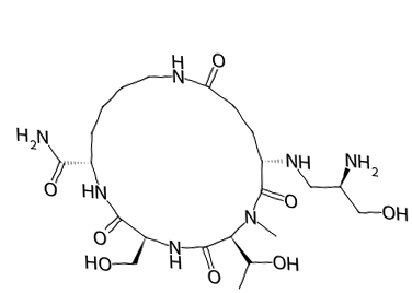 CC(O)[C@H]1C(=O)N[C@@H](CO)C(=O)N[C@H](C(N)=O)CCCCNC(=O)CC[C@H](NC[C@@H](N)CO)C(=O)N1C